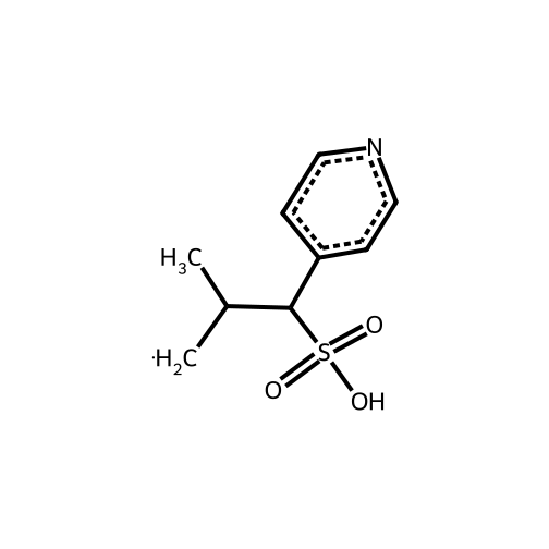 [CH2]C(C)C(c1ccncc1)S(=O)(=O)O